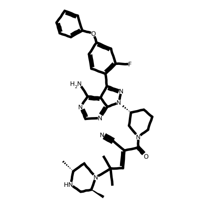 C[C@@H]1CN(C(C)(C)C=C(C#N)C(=O)N2CCC[C@@H](n3nc(-c4ccc(Oc5ccccc5)cc4F)c4c(N)ncnc43)C2)[C@@H](C)CN1